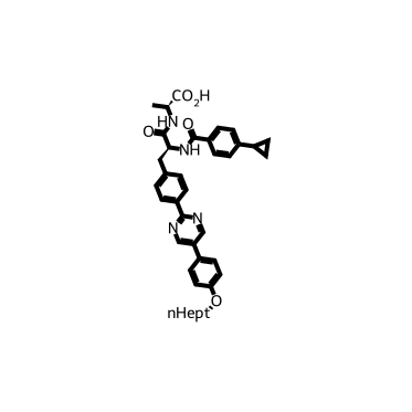 CCCCCCCOc1ccc(-c2cnc(-c3ccc(C[C@H](NC(=O)c4ccc(C5CC5)cc4)C(=O)N[C@H](C)C(=O)O)cc3)nc2)cc1